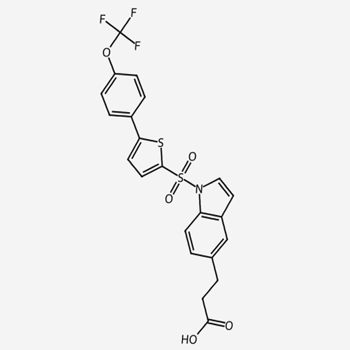 O=C(O)CCc1ccc2c(ccn2S(=O)(=O)c2ccc(-c3ccc(OC(F)(F)F)cc3)s2)c1